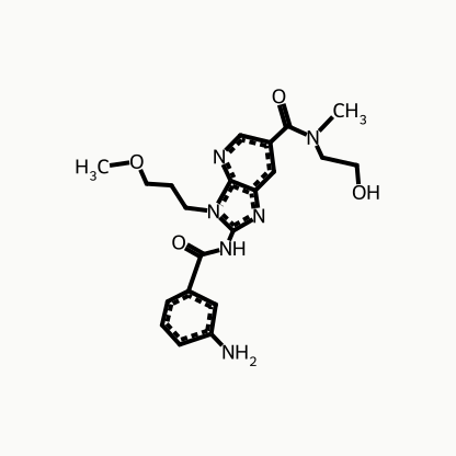 COCCCn1c(NC(=O)c2cccc(N)c2)nc2cc(C(=O)N(C)CCO)cnc21